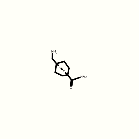 CNC(=O)C12CCC(CN)(CC1)CC2